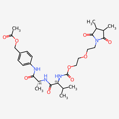 CC(=O)OCc1ccc(NC(=O)[C@@H](C)NC(=O)[C@@H](NC(=O)OCCOCCN2C(=O)C(C)C(C)C2=O)C(C)C)cc1